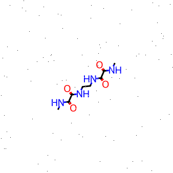 CNC(=O)C(=O)NCCNC(=O)C(=O)NC